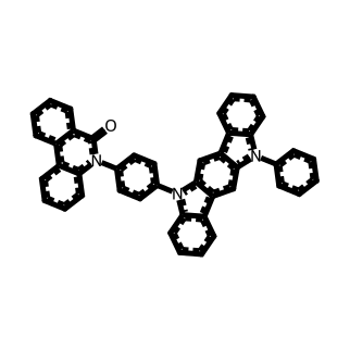 O=c1c2ccccc2c2ccccc2n1-c1ccc(-n2c3ccccc3c3cc4c(cc32)c2ccccc2n4-c2ccccc2)cc1